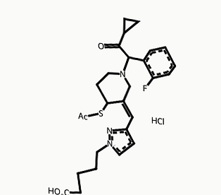 CC(=O)SC1CCN(C(C(=O)C2CC2)c2ccccc2F)C/C1=C/c1ccn(CCCCC(=O)O)n1.Cl